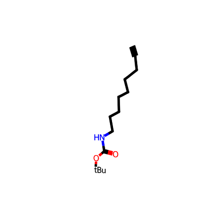 C#CCCCCCCCNC(=O)OC(C)(C)C